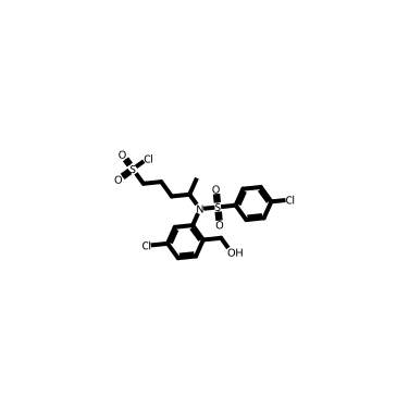 CC(CCCS(=O)(=O)Cl)N(c1cc(Cl)ccc1CO)S(=O)(=O)c1ccc(Cl)cc1